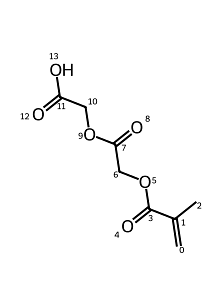 C=C(C)C(=O)OCC(=O)OCC(=O)O